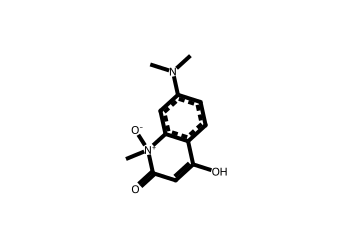 CN(C)c1ccc2c(c1)[N+](C)([O-])C(=O)C=C2O